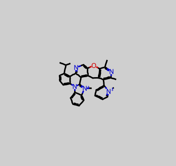 Cc1nc(C)c(-c2cccc[n+]2C)c2c1Oc1cnc3c4c(C(C)C)cccc4n4c5ccccc5[n+](C)c4c3c1C2